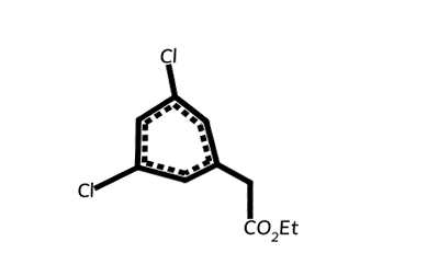 CCOC(=O)Cc1cc(Cl)cc(Cl)c1